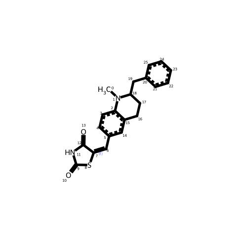 CN1c2ccc(/C=C3/SC(=O)NC3=O)cc2CCC1Cc1ccccc1